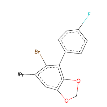 CC(C)c1cc2c(c(-c3ccc(F)cc3)c1Br)OCO2